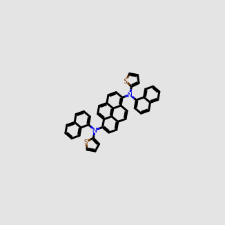 c1csc(N(c2cccc3ccccc23)c2ccc3ccc4c(N(c5cccs5)c5cccc6ccccc56)ccc5ccc2c3c54)c1